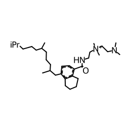 CC(C)CCCC(C)CCCC(C)Cc1ccc(C(=O)NCC[N+](C)(C)CCN(C)C)c2c1CCCC2